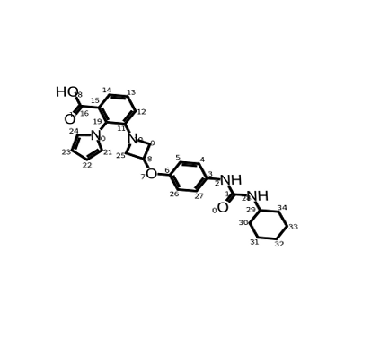 O=C(Nc1ccc(OC2CN(c3cccc(C(=O)O)c3-n3cccc3)C2)cc1)NC1CCCCC1